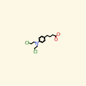 [O]C(=O)CCCc1ccc(N(CCCl)CCCl)cc1